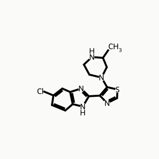 CC1CN(c2scnc2-c2nc3cc(Cl)ccc3[nH]2)CCN1